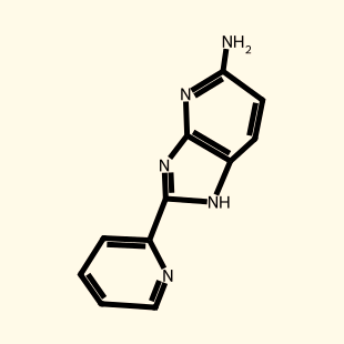 Nc1ccc2[nH]c(-c3ccccn3)nc2n1